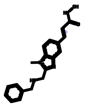 Cn1c(CNCc2ccccc2)nc2cc(/C=C/C(=O)NO)ccc21